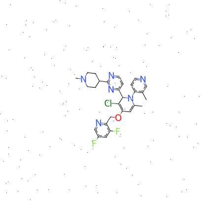 CC1=CC(OCc2ncc(F)cc2F)=C(Cl)C(c2ccnc(C3CCN(C)CC3)n2)N1c1ccncc1C